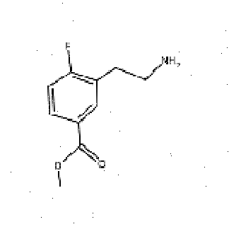 COC(=O)c1ccc(F)c(CCN)c1